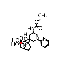 CCOC(=O)NC1CN(c2ccccn2)CC(C)(C23CCC(CC(O)C2)N3C(=O)O)C1